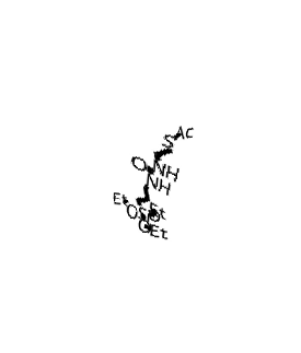 CCO[Si](CCCNC(=O)NCCSC(C)=O)(OCC)OCC